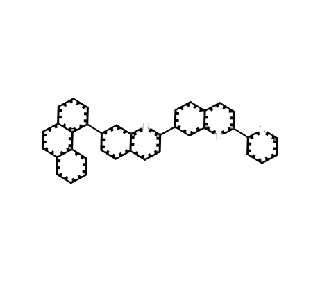 c1ccc(-c2ccc3ccc(-c4ccc5ccc(-c6cccc7ccc8ccccc8c67)cc5n4)cc3n2)nc1